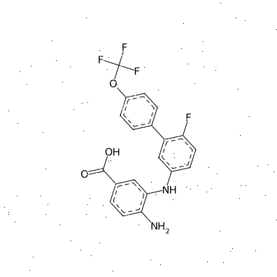 Nc1ccc(C(=O)O)cc1Nc1ccc(F)c(-c2ccc(OC(F)(F)F)cc2)c1